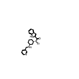 CCN(C(=O)c1cc2ccccc2[nH]1)[C@H]1CCC[C@H](NCc2cccnc2)C1